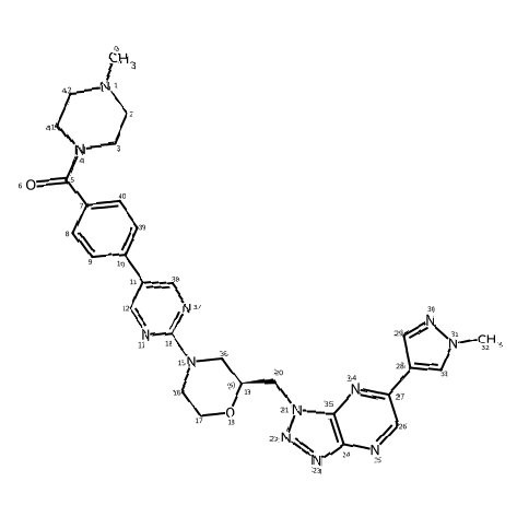 CN1CCN(C(=O)c2ccc(-c3cnc(N4CCO[C@H](Cn5nnc6ncc(-c7cnn(C)c7)nc65)C4)nc3)cc2)CC1